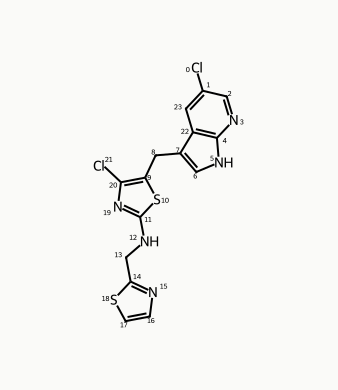 Clc1cnc2[nH]cc(Cc3sc(NCc4nccs4)nc3Cl)c2c1